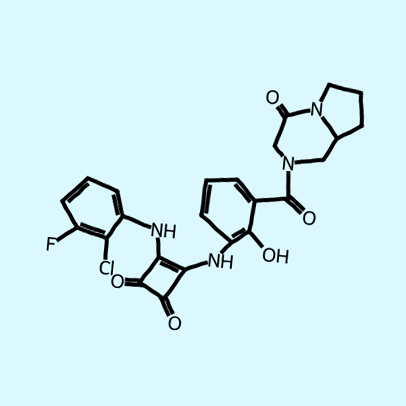 O=C(c1cccc(Nc2c(Nc3cccc(F)c3Cl)c(=O)c2=O)c1O)N1CC(=O)N2CCCC2C1